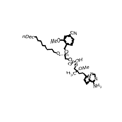 CCCCCCCCCCCCCCCCCCOC[C@@H](COP(=O)(O)OC[C@](C)(CCc1ccc2c(N)ncnn12)OC)OCc1ccc(C#N)cc1OC